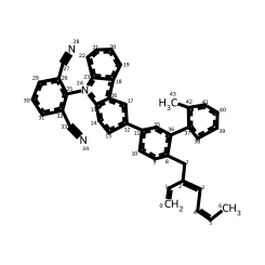 C=C/C(=C\C=C/C)Cc1ccc(-c2ccc3c(c2)c2ccccc2n3-c2c(C#N)cccc2C#N)cc1-c1ccccc1C